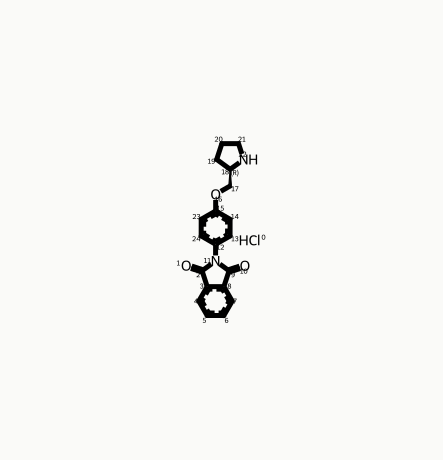 Cl.O=C1c2ccccc2C(=O)N1c1ccc(OC[C@H]2CCCN2)cc1